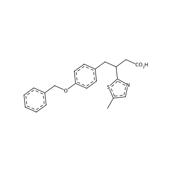 Cc1cnc(C(CC(=O)O)Cc2ccc(OCc3ccccc3)cc2)s1